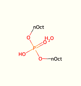 CCCCCCCCOP(=O)(O)OCCCCCCCC.O